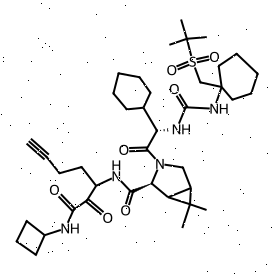 C#CCCC(NC(=O)[C@@H]1C2C(CN1C(=O)[C@@H](NC(=O)NC1(CS(=O)(=O)C(C)(C)C)CCCCC1)C1CCCCC1)C2(C)C)C(=O)C(=O)NC1CCC1